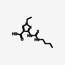 CCCCNC(=S)Nc1nn(CC)cc1C(=O)O